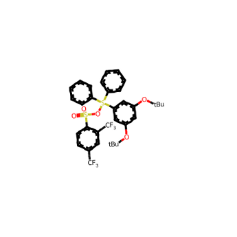 CC(C)(C)Oc1cc(OC(C)(C)C)cc(S(OS(=O)(=O)c2ccc(C(F)(F)F)cc2C(F)(F)F)(c2ccccc2)c2ccccc2)c1